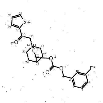 O=C(OCc1cccc(F)c1)OC1C[N+]2(CC(=O)c3cccs3)CCC1CC2